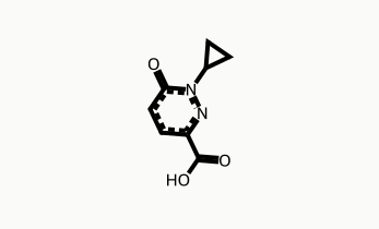 O=C(O)c1ccc(=O)n(C2CC2)n1